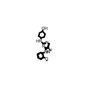 COc1ccccc1-n1nnc2cnc(NC3CCC(O)CC3)nc21